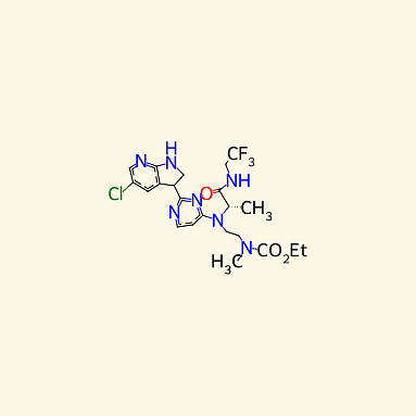 CCOC(=O)N(C)CCN(c1ccnc(C2CNc3ncc(Cl)cc32)n1)[C@@H](C)C(=O)NCC(F)(F)F